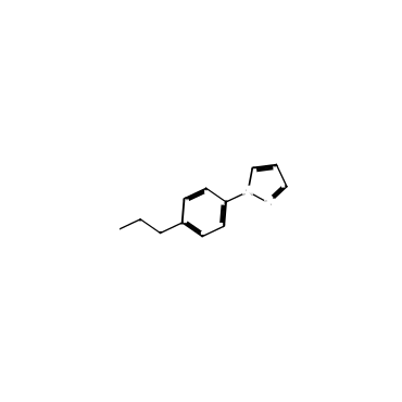 [CH2]CCc1ccc(-n2cccn2)cc1